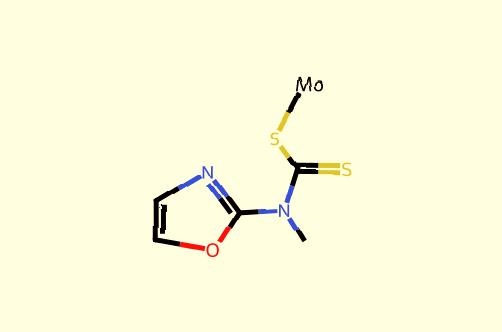 CN(C(=S)[S][Mo])c1ncco1